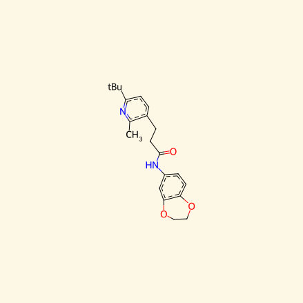 Cc1nc(C(C)(C)C)ccc1CCC(=O)Nc1ccc2c(c1)OCCO2